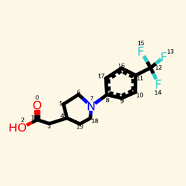 O=C(O)CC1CCN(c2ccc(C(F)(F)F)cc2)CC1